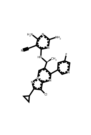 C[C@H](Nc1nc(N)nc(N)c1C#N)c1cn2nc(C3CC3)c(Cl)c2nc1-c1cncc(F)c1